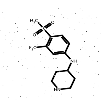 CS(=O)(=O)c1ccc(NC2CCNCC2)cc1C(F)(F)F